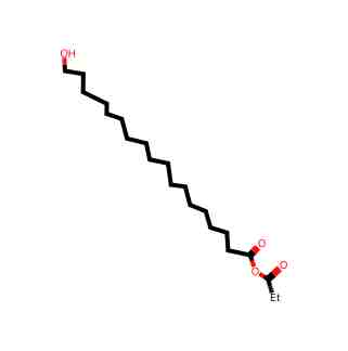 CCC(=O)OC(=O)CCCCCCCCCCCCCCCCCO